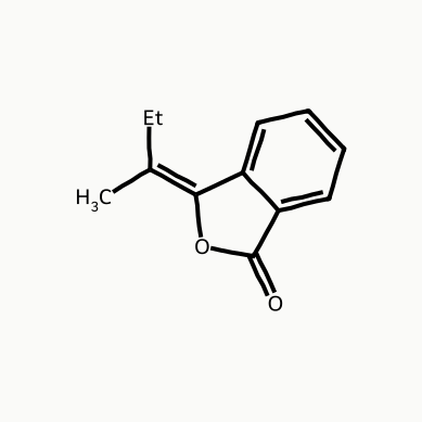 CC/C(C)=C1/OC(=O)c2ccccc21